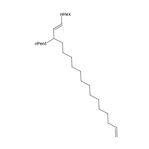 C=CCCCCCCCCCCCCC(C=CCCCCCC)CCCCC